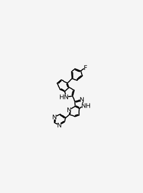 Fc1ccc(-c2cccc3[nH]c(-c4n[nH]c5ccc(-c6cncnc6)nc45)cc23)cc1